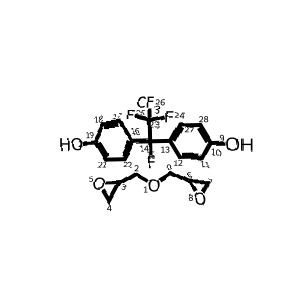 C(OCC1CO1)C1CO1.Oc1ccc(C(F)(c2ccc(O)cc2)C(F)(F)C(F)(F)F)cc1